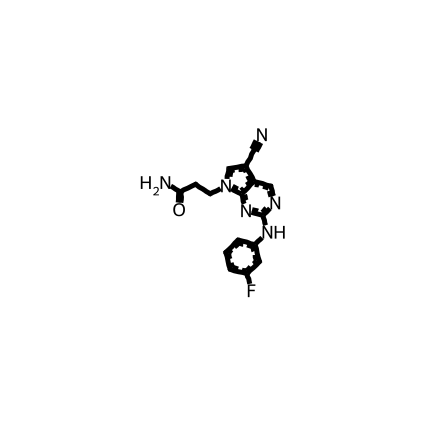 N#Cc1cn(CCC(N)=O)c2nc(Nc3cccc(F)c3)ncc12